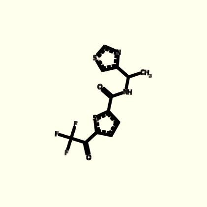 CC(NC(=O)c1ccc(C(=O)C(F)(F)F)s1)c1cscn1